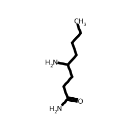 CCCCC(N)CCC(N)=O